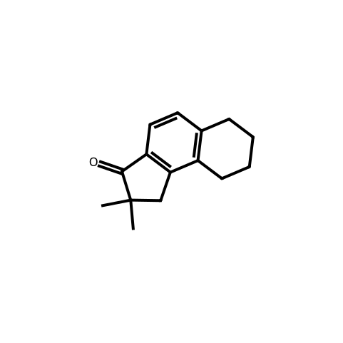 CC1(C)Cc2c(ccc3c2CCCC3)C1=O